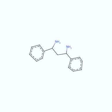 NC(CC(N)c1ccccc1)c1ccccc1